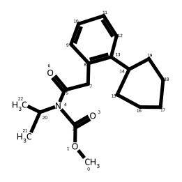 COC(=O)N(C(=O)Cc1ccc[c]c1C1CCCCC1)C(C)C